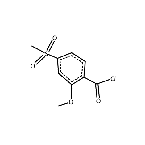 COc1cc(S(C)(=O)=O)ccc1C(=O)Cl